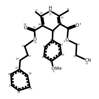 COc1ccc(C2C(C(=O)OCCC#N)=C(C)NC(C)=C2C(=O)OCCCc2ccccc2)cc1